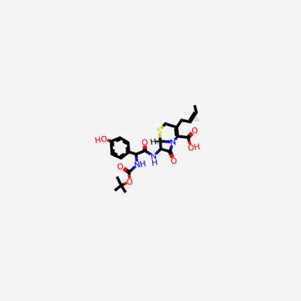 C/C=C\CC1=C(C(=O)O)N2C(=O)C(NC(=O)C(NC(=O)OC(C)(C)C)c3ccc(O)cc3)[C@H]2SC1